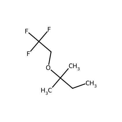 CCC(C)(C)OCC(F)(F)F